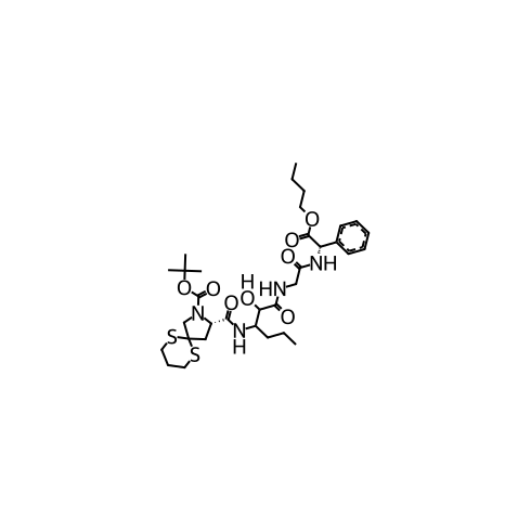 CCCCOC(=O)[C@@H](NC(=O)CNC(=O)C(O)C(CCC)NC(=O)[C@@H]1CC2(CN1C(=O)OC(C)(C)C)SCCCS2)c1ccccc1